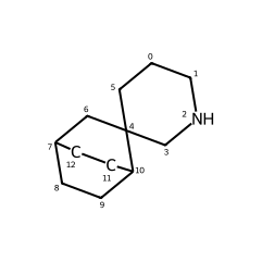 C1CNCC2(C1)CC1CCC2CC1